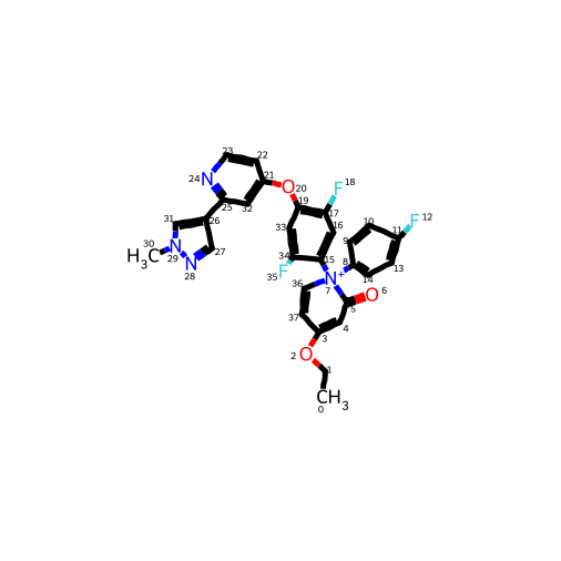 CCOC1=CC(=O)[N+](c2ccc(F)cc2)(c2cc(F)c(Oc3ccnc(-c4cnn(C)c4)c3)cc2F)C=C1